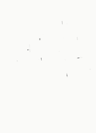 C[C](C)(C)[Ti+2]([C]1=CC=CC1)[c]1ccc[nH]1.[Cl-].[Cl-]